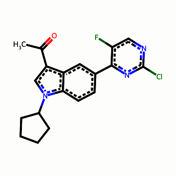 CC(=O)c1cn(C2CCCC2)c2ccc(-c3nc(Cl)ncc3F)cc12